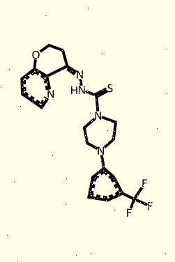 FC(F)(F)c1cccc(N2CCN(C(=S)N/N=C3/CCOc4cccnc43)CC2)c1